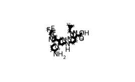 N[C@H]1CCCN(c2cc(Nc3ccc4c(C(=O)O)nn(CC5CC5)c4n3)ncc2-c2cnn(CC(F)(F)F)c2)C1